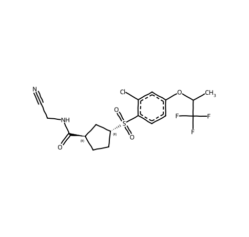 CC(Oc1ccc(S(=O)(=O)[C@@H]2CC[C@@H](C(=O)NCC#N)C2)c(Cl)c1)C(F)(F)F